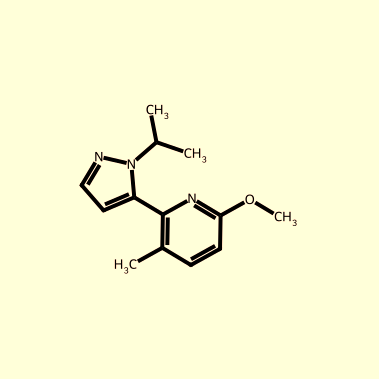 COc1ccc(C)c(-c2ccnn2C(C)C)n1